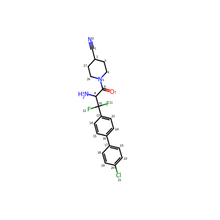 N#CC1CCN(C(=O)C(N)C(F)(F)c2ccc(-c3ccc(Cl)cc3)cc2)CC1